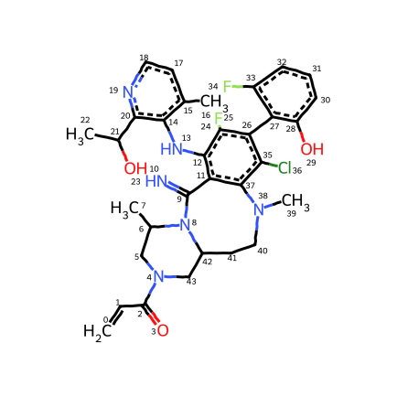 C=CC(=O)N1CC(C)N2C(=N)c3c(Nc4c(C)ccnc4C(C)O)c(F)c(-c4c(O)cccc4F)c(Cl)c3N(C)CCC2C1